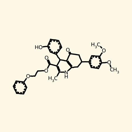 COc1ccc(C2CC(=O)C3=C(C2)NC(C)=C(C(=O)OCCOc2ccccc2)C3c2cccc(O)c2)cc1OC